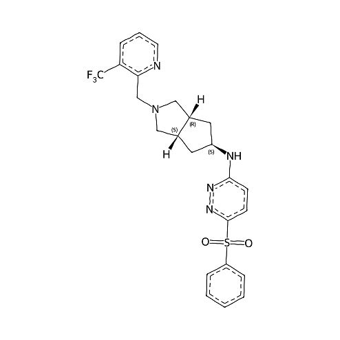 O=S(=O)(c1ccccc1)c1ccc(N[C@H]2C[C@@H]3CN(Cc4ncccc4C(F)(F)F)C[C@@H]3C2)nn1